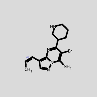 C/C=C\c1cnn2c(N)c(Br)c(C3CCCNC3)nc12